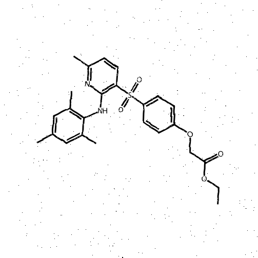 CCOC(=O)COc1ccc(S(=O)(=O)c2ccc(C)nc2Nc2c(C)cc(C)cc2C)cc1